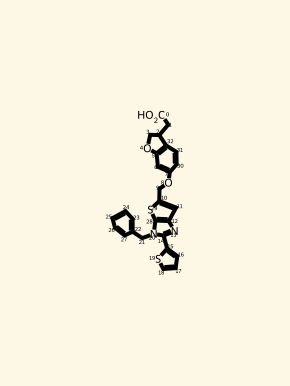 O=C(O)CC1COc2cc(OCc3cc4nc(-c5cccs5)n(Cc5ccccc5)c4s3)ccc21